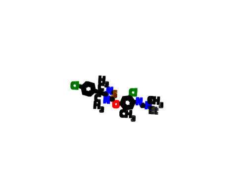 CCN(C)C=Nc1cc(C)c(Oc2nc(C(C)(C)c3ccc(Cl)cc3)ns2)cc1Cl